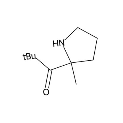 CC(C)(C)C(=O)C1(C)CCCN1